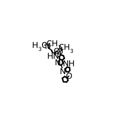 CCOc1ccc2c(Nc3ccc(Oc4ccccc4)cc3)c(C#N)cnc2c1NC(=O)/C=C/CN(C)C